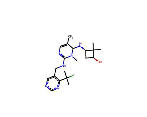 CN1C(NCc2cncnc2C(C)(C)F)=NC=C(C(F)(F)F)C1N[C@@H]1C[C@H](O)C1(C)C